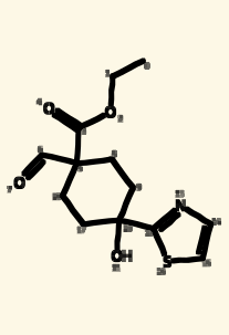 CCOC(=O)C1([C]=O)CCC(O)(c2nccs2)CC1